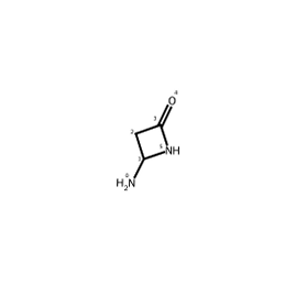 NC1CC(=O)N1